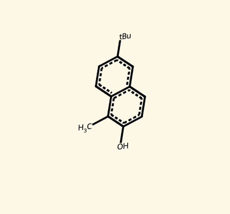 Cc1c(O)ccc2cc(C(C)(C)C)ccc12